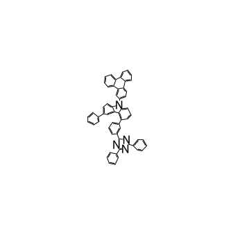 CN1C(c2cccc(-c3cccc4c3c3cc(-c5ccccc5)ccc3n4-c3ccc4c5ccccc5c5ccccc5c4c3)c2)=NC(c2ccccc2)=NC1c1ccccc1